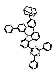 c1ccc(-c2cccc(-n3c4cccc(-c5nc(-c6ccccc6)nc(-c6ccccc6)n5)c4c4cccc(-c5ccc(C67CC8CC(CC(C8)C6)C7)cc5)c43)c2)cc1